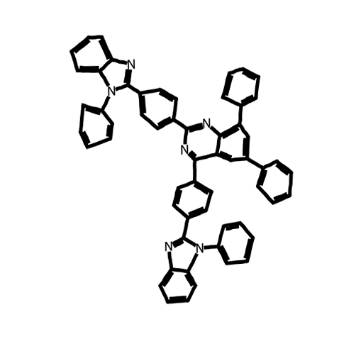 c1ccc(-c2cc(-c3ccccc3)c3nc(-c4ccc(-c5nc6ccccc6n5-c5ccccc5)cc4)nc(-c4ccc(-c5nc6ccccc6n5-c5ccccc5)cc4)c3c2)cc1